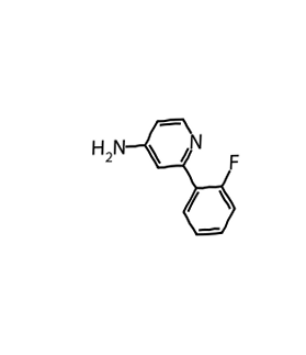 Nc1ccnc(-c2ccccc2F)c1